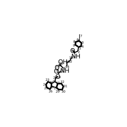 O=C(Cc1ccc(I)cc1)NCCCC[C@H](NC(=O)OCC1c2ccccc2-c2ccccc21)C(=O)O